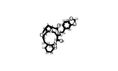 CC12Cn3c(cc4c3CC(CC3CCCCC3NC1=O)O4)C(=O)N2Cc1ccc2c(c1)OCO2